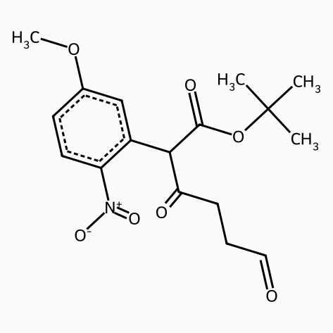 COc1ccc([N+](=O)[O-])c(C(C(=O)CCC=O)C(=O)OC(C)(C)C)c1